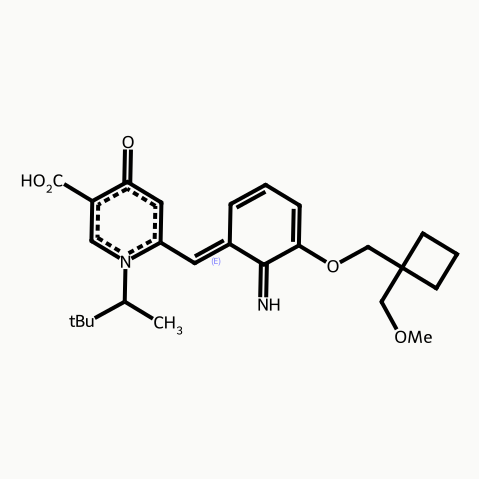 COCC1(COC2=CC=C/C(=C\c3cc(=O)c(C(=O)O)cn3C(C)C(C)(C)C)C2=N)CCC1